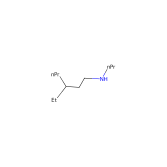 CCCNCCC(CC)CCC